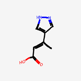 C/C(=C\C(=O)O)c1cn[nH]c1